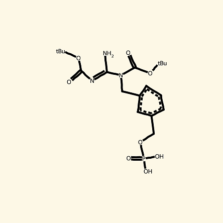 CC(C)(C)OC(=O)N=C(N)N(Cc1cccc(COP(=O)(O)O)c1)C(=O)OC(C)(C)C